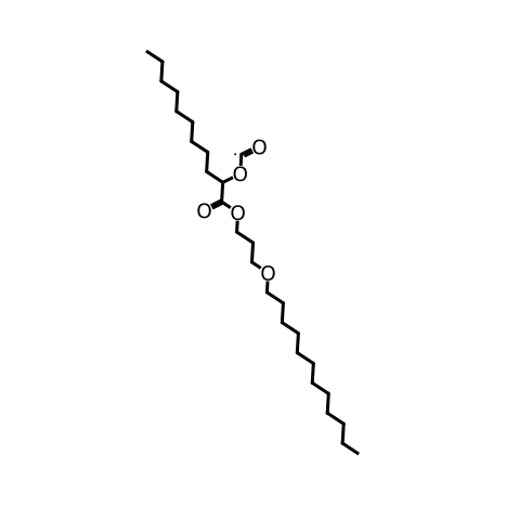 CCCCCCCCCCCCOCCCOC(=O)C(CCCCCCCCC)O[C]=O